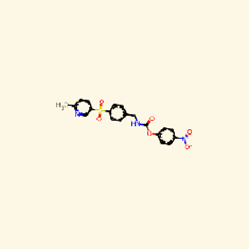 Cc1ccc(S(=O)(=O)c2ccc(CNC(=O)Oc3ccc([N+](=O)[O-])cc3)cc2)cn1